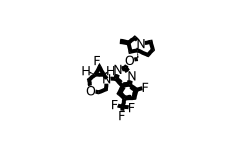 C=C1CN2CCC[C@@]2(COc2nc(N3CCOC[C@H]4[C@H](F)[C@H]43)c3cc(C(F)(F)F)cc(F)c3n2)C1